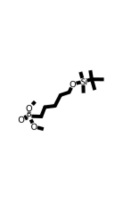 COP(=O)(CCCCCO[Si](C)(C)C(C)(C)C)OC